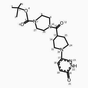 CC(C)(C)OC(=O)N1CCN(C(=O)C2CCN(c3ccc(=O)[nH]n3)CC2)CC1